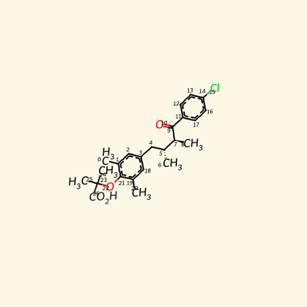 Cc1cc(C[C@@H](C)[C@H](C)C(=O)c2ccc(Cl)cc2)cc(C)c1OC(C)(C)C(=O)O